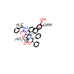 COc1ccc(-c2ccc3c(c2)[C@]2(C(=O)N3C(=O)N[C@H](C)c3ccccc3)[C@H](c3ccc(OCCO)cc3)N3[C@H](c4ccccc4)[C@H](c4ccccc4)OC(=O)[C@H]3[C@@H]2C(=O)O)cc1